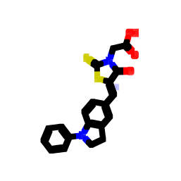 O=C(O)CN1C(=O)/C(=C/c2ccc3c(c2)CCN3c2ccccc2)SC1=S